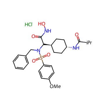 COc1ccc(S(=O)(=O)N(Cc2ccccc2)C(C(=O)NO)[C@H]2CC[C@H](NC(=O)C(C)C)CC2)cc1.Cl